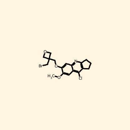 COc1cc2c(Cl)c3c(nc2cc1OCC1(CBr)COC1)CCC3